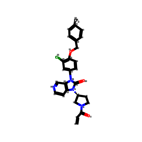 C=CC(=O)N1CC[C@@H](n2c(=O)n(-c3ccc(OCc4ccc(C(F)(F)F)cc4)c(Cl)c3)c3cnccc32)C1